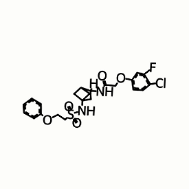 O=C(COc1ccc(Cl)c(F)c1)N[C@@H]1CC2(NS(=O)(=O)CCOc3ccccc3)CC1C2